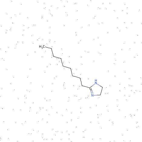 CCCCCCCCCC1=NCCN1